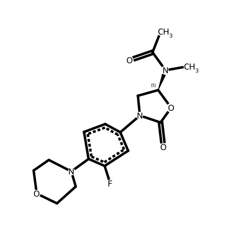 CC(=O)N(C)[C@@H]1CN(c2ccc(N3CCOCC3)c(F)c2)C(=O)O1